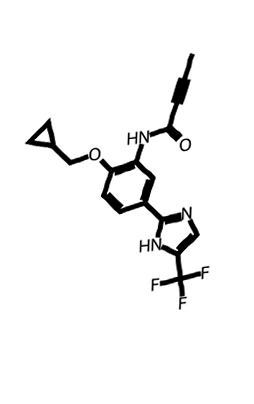 CC#CC(=O)Nc1cc(-c2ncc(C(F)(F)F)[nH]2)ccc1OCC1CC1